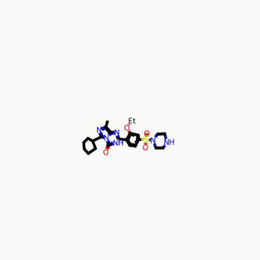 CCOc1cc(S(=O)(=O)N2CCNCC2)ccc1-c1nc2c(C)nc(C3CCCCC3)n2c(=O)[nH]1